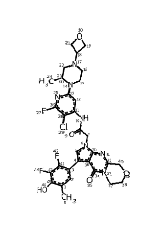 Cc1cc(-c2cn(CC(=O)Nc3cc(N4CCN(C5COC5)C[C@@H]4C)nc(F)c3Cl)c3nc4n(c(=O)c23)CCOC4)c(F)c(F)c1O